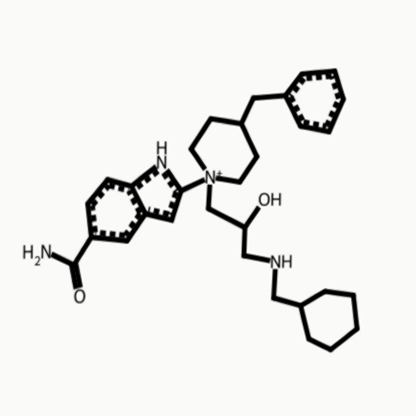 NC(=O)c1ccc2[nH]c([N+]3(CC(O)CNCC4CCCCC4)CCC(Cc4ccccc4)CC3)cc2c1